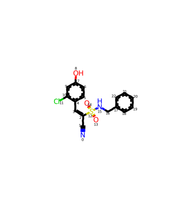 N#C/C(=C/c1ccc(O)cc1Cl)S(=O)(=O)NCc1ccccc1